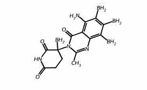 Bc1c(B)c(N)c2c(=O)n(C3(B)CCC(=O)NC3=O)c(C)nc2c1B